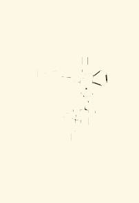 CCCCCOC1(c2ccccc2C)CN(C(=O)OC(C)(C)C)C1